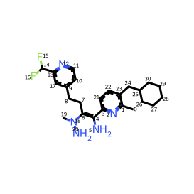 Cc1nc(/C(N)=C(\CCc2ccnc(C(F)F)c2)N(C)N)ccc1CC1CCCCC1